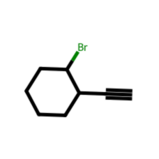 C#CC1CCCCC1Br